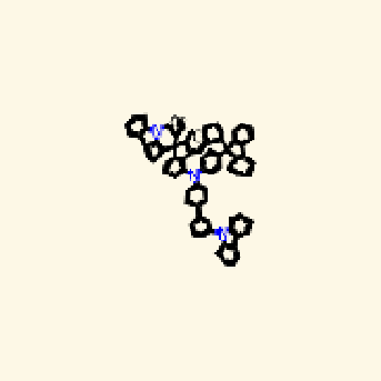 c1ccc(C2(c3ccc(N(c4ccc(-c5cccc(-n6c7ccccc7c7ccccc76)c5)cc4)c4cccc5c4-c4ccccc4C54c5ccccc5-n5c6ccccc6c6cccc4c65)cc3)c3ccccc3-c3ccccc32)cc1